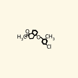 Cc1cc(Cl)ccc1COc1cccc2c1CCN(C)C2=O